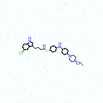 CN1CCN(c2ccc(Nc3ccc(SNCCCc4c[nH]c5ccc(Cl)cc45)cc3)cc2)CC1